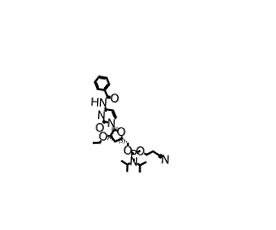 CCO[C@@H]1C[C@@H](COP(OCCC#N)N(C(C)C)C(C)C)O[C@H]1n1ccc(NC(=O)c2ccccc2)nc1=O